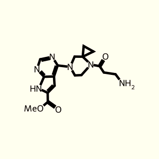 COC(=O)c1cc2c(N3CCN(C(=O)CCN)C4(CC4)C3)ncnc2[nH]1